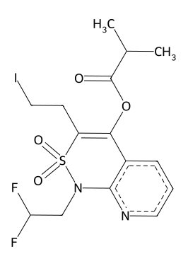 CC(C)C(=O)OC1=C(CCI)S(=O)(=O)N(CC(F)F)c2ncccc21